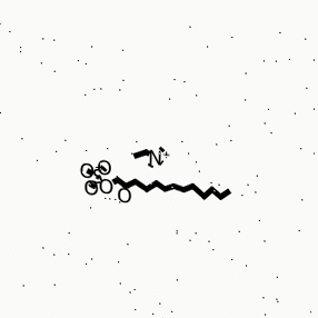 CCCCCCCCCCCC(=O)COS(=O)(=O)[O-].CC[N+](C)(C)C